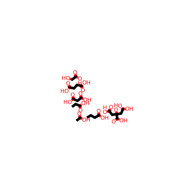 CC(=O)O.CCC(=O)O.CCCC(=O)O.O=C(O)CC(=O)O.O=C(O)CC(O)(CC(=O)O)C(=O)O.O=C(O)CCC(=O)O.O=C(O)CO